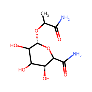 CC(O[C@@H]1OC(C(N)=O)[C@@H](O)C(O)C1O)C(N)=O